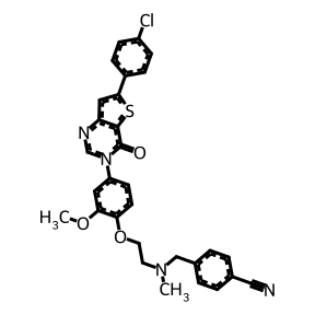 COc1cc(-n2cnc3cc(-c4ccc(Cl)cc4)sc3c2=O)ccc1OCCN(C)Cc1ccc(C#N)cc1